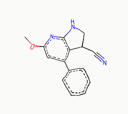 COc1cc(-c2ccccc2)c2c(n1)NCC2C#N